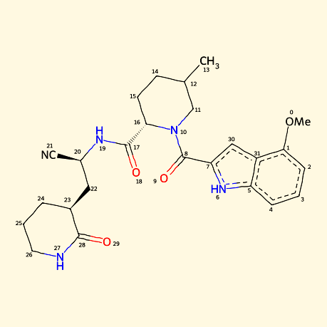 COc1cccc2[nH]c(C(=O)N3CC(C)CC[C@H]3C(=O)N[C@H](C#N)C[C@@H]3CCCNC3=O)cc12